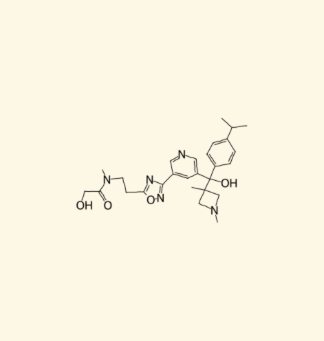 CC(C)c1ccc(C(O)(c2cncc(-c3noc(CCN(C)C(=O)CO)n3)c2)C2(C)CN(C)C2)cc1